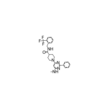 CNc1cc(N2CCC(C(=O)NCc3ccccc3C(F)(F)F)CC2)nc(-c2ccccc2)n1